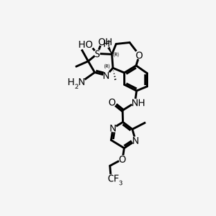 Cc1nc(OCC(F)(F)F)cnc1C(=O)Nc1ccc2c(c1)[C@@]1(C)N=C(N)C(C)(C)S(O)(O)[C@@H]1CCO2